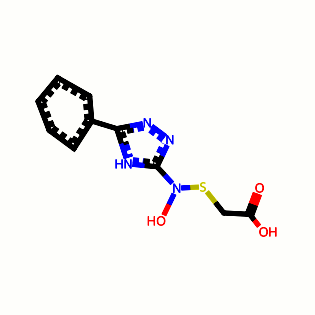 O=C(O)CSN(O)c1nnc(-c2ccccc2)[nH]1